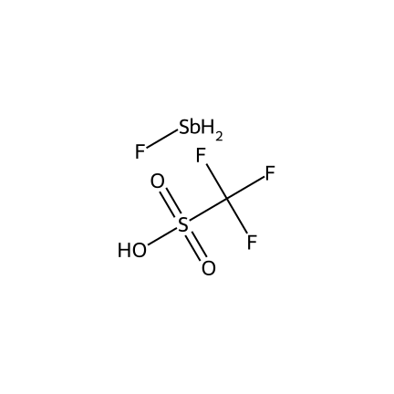 O=S(=O)(O)C(F)(F)F.[F][SbH2]